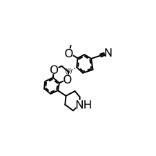 COc1cc(C#N)ccc1[C@H]1COc2cccc(C3CCNCC3)c2O1